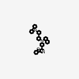 c1cc(-c2cccc(-n3c4ccccc4c4ccccc43)c2)cc(N(c2ccc(-c3cncc4c3oc3ccccc34)cc2)c2cccc3ccccc23)c1